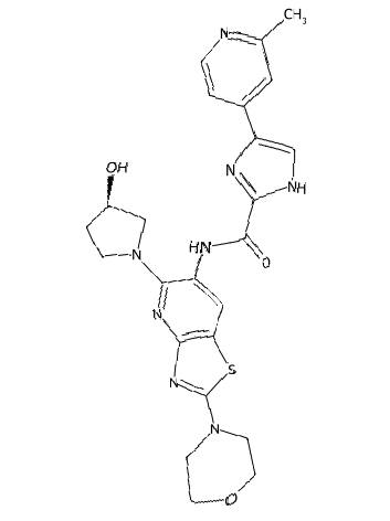 Cc1cc(-c2c[nH]c(C(=O)Nc3cc4sc(N5CCOCC5)nc4nc3N3CC[C@@H](O)C3)n2)ccn1